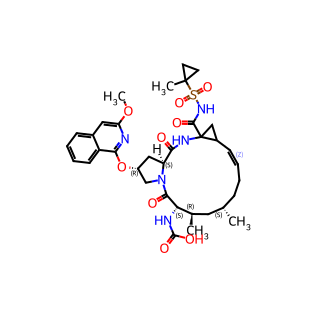 COc1cc2ccccc2c(O[C@@H]2C[C@H]3C(=O)NC4(C(=O)NS(=O)(=O)C5(C)CC5)CC4/C=C\CC[C@H](C)C[C@@H](C)[C@H](NC(=O)O)C(=O)N3C2)n1